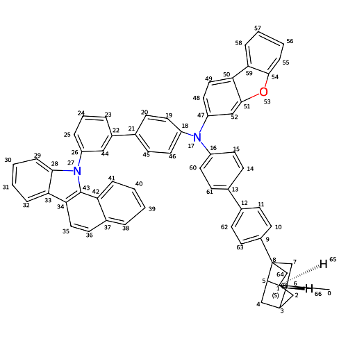 C[C@H]1CC2CC3[C@@H]2CC3(c2ccc(-c3ccc(N(c4ccc(-c5cccc(-n6c7ccccc7c7ccc8ccccc8c76)c5)cc4)c4ccc5c(c4)oc4ccccc45)cc3)cc2)C1